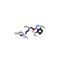 CCCCN(C(=O)CN(CCC)CCC[N+](C)(CC=O)CCCC)c1c(C)cccc1C